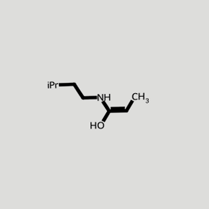 C/C=C(/O)NCCC(C)C